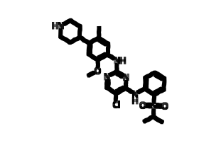 COc1cc(C2CCNCC2)c(C)cc1Nc1ncc(Cl)c(Nc2ccccc2S(=O)(=O)C(C)C)n1